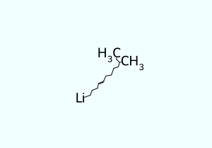 [Li][CH2]CC/C=C/CCCCC(C)CC